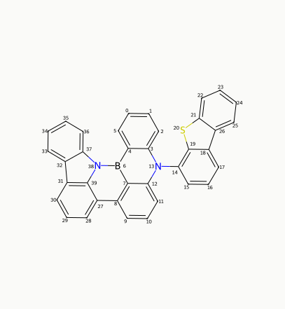 c1ccc2c(c1)B1c3c(cccc3N2c2cccc3c2sc2ccccc23)-c2cccc3c4ccccc4n1c23